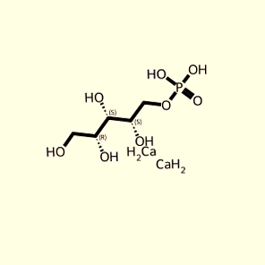 O=P(O)(O)OC[C@H](O)[C@@H](O)[C@H](O)CO.[CaH2].[CaH2]